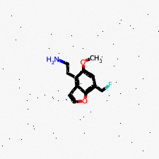 COc1cc(CF)c2occc2c1CCN